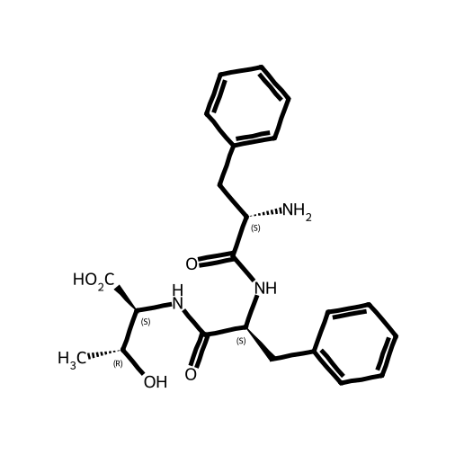 C[C@@H](O)[C@H](NC(=O)[C@H](Cc1ccccc1)NC(=O)[C@@H](N)Cc1ccccc1)C(=O)O